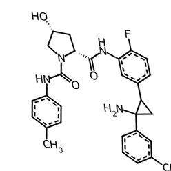 Cc1ccc(NC(=O)N2C[C@H](O)C[C@@H]2C(=O)Nc2cc(C3CC3(N)c3cccc(C#N)c3)ccc2F)cc1